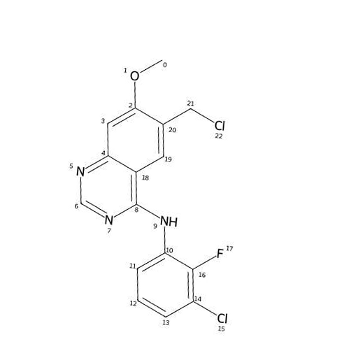 COc1cc2ncnc(Nc3cccc(Cl)c3F)c2cc1CCl